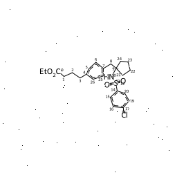 CCOC(=O)CCCc1ccc(CC2(NS(=O)(=O)c3ccc(Cl)cc3)CCCC2)cc1